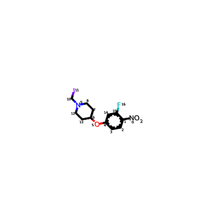 O=[N+]([O-])c1ccc(OC2CCN(CI)CC2)cc1F